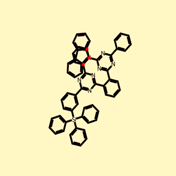 c1ccc(-c2nc(-c3cccc([Si](c4ccccc4)(c4ccccc4)c4ccccc4)c3)nc(-c3ccccc3-c3nc(-c4ccccc4)nc(-n4c5ccccc5c5ccccc54)n3)n2)cc1